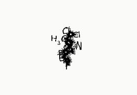 CC(c1cc(Cl)cc(Cl)c1)N1CCC(C#N)(COc2cc(F)c(C(=O)N3CCC(F)C3)cc2C2CC2)CC1